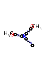 COc1ccc(/C=C/c2ccc(N(c3ccc(/C=C/C=C/c4ccccc4)cc3)c3ccc(/C=C/c4ccc(OC)cc4)cc3)cc2)cc1